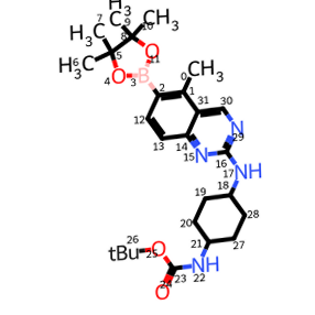 Cc1c(B2OC(C)(C)C(C)(C)O2)ccc2nc(NC3CCC(NC(=O)OC(C)(C)C)CC3)ncc12